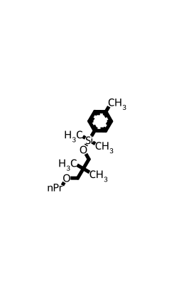 CCCOCC(C)(C)CO[Si](C)(C)c1ccc(C)cc1